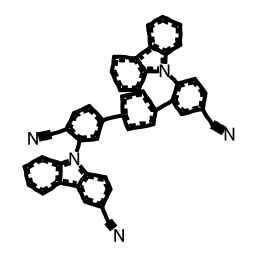 N#Cc1ccc(-n2c3ccccc3c3ccccc32)c(-c2ccc(-c3ccc(C#N)c(-n4c5ccccc5c5cc(C#N)ccc54)c3)cc2)c1